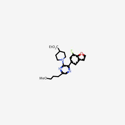 CCOC(=O)C1CCN(c2nc(CCCOC)cnc2-c2cc(F)c3occc3c2)CC1